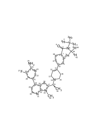 [2H]C([2H])([2H])N(C(=O)c1ccc(C2=CCN([C@@H](C)c3cc4c(-c5cnc(N)c(F)c5)ccnc4n3C)CC2)cc1)C([2H])([2H])[2H]